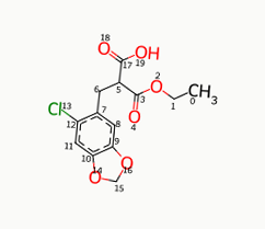 CCOC(=O)C(Cc1cc2c(cc1Cl)OCO2)C(=O)O